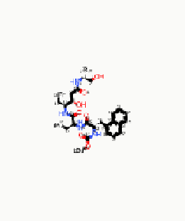 CC[C@H](C)[C@@H](CO)NC(=O)C[C@H](O)[C@H](CC(C)C)NC(=O)[C@H](CC(C)C)NC(=O)[C@H](Cc1cccc2ccccc12)NC(=O)OC(C)(C)C